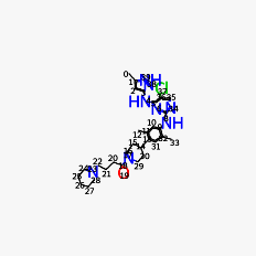 Cc1cc(Nc2nc(Nc3cc(C)c(C4CCN(C(=O)CCCN5CCCCC5)CC4)cc3C)ncc2Cl)n[nH]1